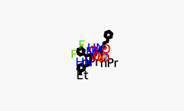 CCCC(CCC)S(=O)(=O)CC(NC(=O)CCc1ccccc1)C(=O)O[C@H](CNCc1cccc(CC)c1)[C@@H](N)Cc1cc(F)cc(F)c1